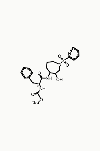 CC(C)(C)OC(=O)N[C@@H](Cc1ccccc1)C(=O)NC1CCCN(S(=O)(=O)c2ccccn2)CC1O